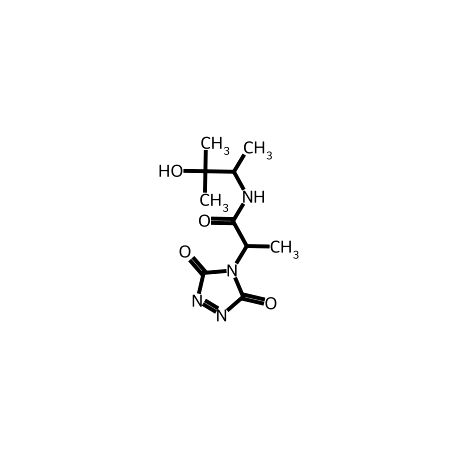 CC(C(=O)NC(C)C(C)(C)O)N1C(=O)N=NC1=O